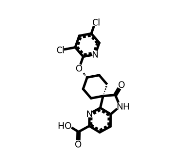 O=C(O)c1ccc2c(n1)[C@]1(CC[C@@H](Oc3ncc(Cl)cc3Cl)CC1)C(=O)N2